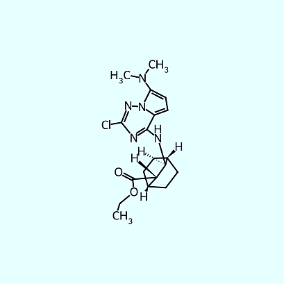 CCOC(=O)[C@H]1[C@H]2CC[C@H](CC2)[C@@H]1Nc1nc(Cl)nn2c(N(C)C)ccc12